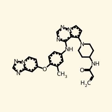 C=CC(=O)NC1CCN(c2ccn3ncnc(Nc4ccc(Oc5ccn6ncnc6c5)c(C)c4)c23)CC1